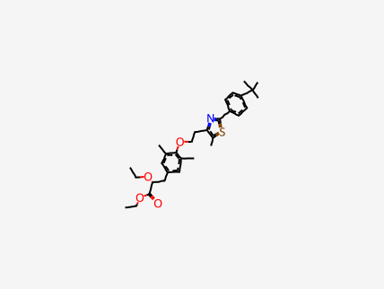 CCOC(=O)C(Cc1cc(C)c(OCCc2nc(-c3ccc(C(C)(C)C)cc3)sc2C)c(C)c1)OCC